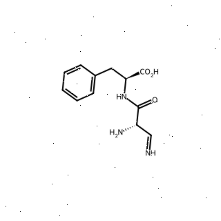 N=C[C@H](N)C(=O)N[C@@H](Cc1ccccc1)C(=O)O